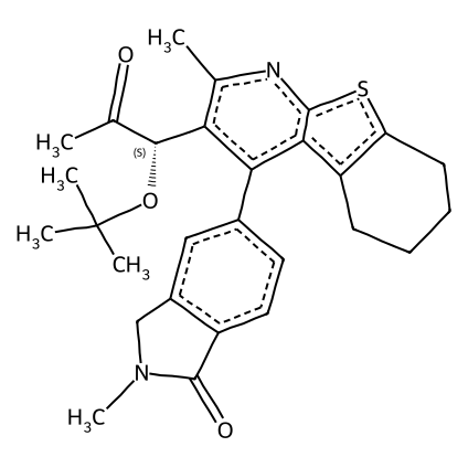 CC(=O)[C@@H](OC(C)(C)C)c1c(C)nc2sc3c(c2c1-c1ccc2c(c1)CN(C)C2=O)CCCC3